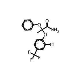 CC(Oc1ccccc1)(Oc1ccc(C(F)(F)F)cc1Cl)C(N)=O